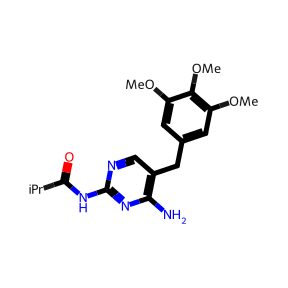 COc1cc(Cc2cnc(NC(=O)C(C)C)nc2N)cc(OC)c1OC